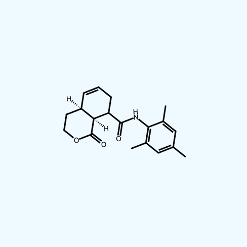 Cc1cc(C)c(NC(=O)C2CC=C[C@@H]3CCOC(=O)[C@H]23)c(C)c1